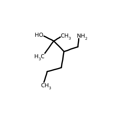 CCCC(CN)C(C)(C)O